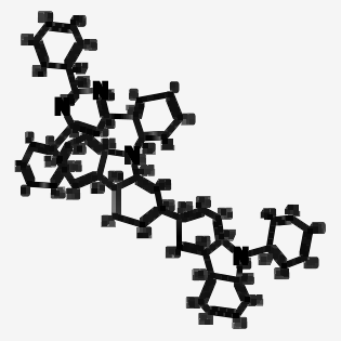 c1ccc(-c2cc(-c3ccccc3-n3c4ccccc4c4ccc(-c5ccc6c(c5)c5ccccc5n6-c5ccccc5)cc43)nc(-c3ccccc3)n2)cc1